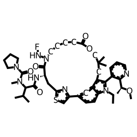 CCn1c(-c2cccnc2[C@H](C)OC)c2c3cc(ccc31)-c1csc(n1)C[C@H](NC(=O)C(C(C)C)N(C)C(=O)N1CCCC1)C(=O)N(NF)CCCCC(=O)OCC(C)(C)C2